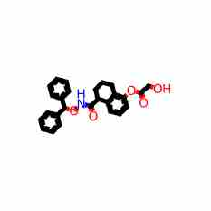 O=C(CO)Oc1cccc2c1CCCC2C(=O)NOC(c1ccccc1)c1ccccc1